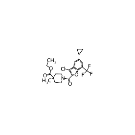 CCOC(=O)C1(C)CCN(C(=O)c2oc3c(C(F)(F)F)cc(C4CC4)cc3c2Cl)CC1